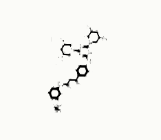 N[C@@H]1C[C@H](N)CN(c2nc(Nc3ccc(C(=O)CC(=O)Nc4cccc(OC(F)(F)F)c4)cc3)nc(N3C[C@H](N)C[C@H](N)C3)n2)C1